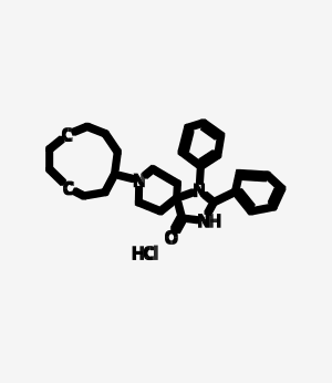 Cl.O=C1NC(c2ccccc2)N(c2ccccc2)C12CCN(C1CCCCCCCCC1)CC2